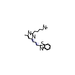 CC1=C/C(=C/C=C/c2nc3ccccc3s2)N=C(CCCCN(C)C)N1C